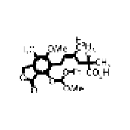 CCOC(OC)Oc1c(CC=C(C)CC(C)(C)C(=O)O)c(OC)c(C)c2c1C(=O)OC2